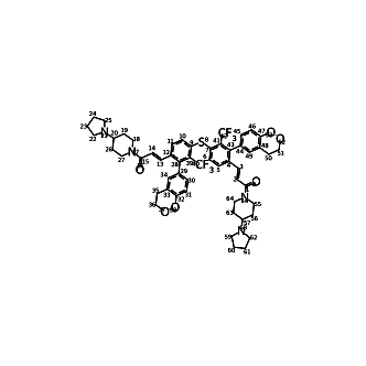 O=C(/C=C/c1ccc(Sc2ccc(/C=C/C(=O)N3CCC(N4CCCC4)CC3)c(-c3ccc4c(c3)CCOO4)c2C(F)(F)F)c(C(F)(F)F)c1-c1ccc2c(c1)CCOO2)N1CCC(N2CCCC2)CC1